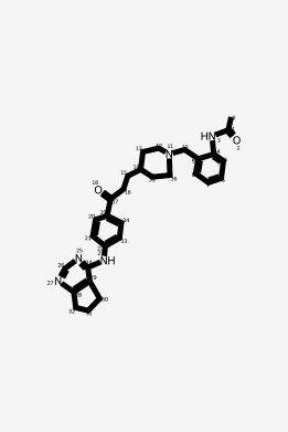 CC(=O)Nc1ccccc1CN1CCC(CCC(=O)c2ccc(Nc3ncnc4c3CCC4)cc2)CC1